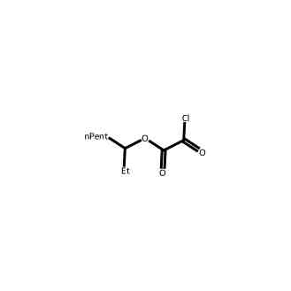 CCCCCC(CC)OC(=O)C(=O)Cl